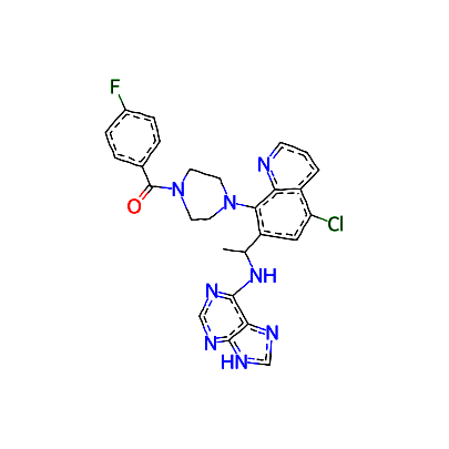 CC(Nc1ncnc2[nH]cnc12)c1cc(Cl)c2cccnc2c1N1CCN(C(=O)c2ccc(F)cc2)CC1